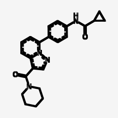 O=C(Nc1ccc(-c2cccc3c(C(=O)N4CCCCC4)cnn23)cc1)C1CC1